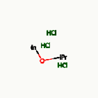 CC(C)[O][In].Cl.Cl.Cl